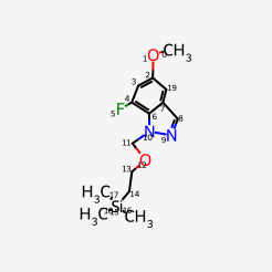 COc1cc(F)c2c(cnn2COCC[Si](C)(C)C)c1